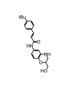 CC(C)(C)c1ccc(/C=C/C(=O)Nc2ccc3c(c2)NCC(CO)O3)cc1